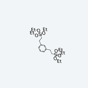 CCO[Si](CCc1cccc(CC[Si](OCC)(OCC)OCC)c1)(OCC)OCC